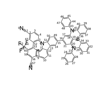 N#Cc1ccc(-n2c3ccccc3c3cc(-c4cc5c6c(c4)N(c4ccccc4)c4ccccc4B6c4ccccc4N5c4ccccc4)ccc32)c(-c2ccc(C#N)cc2C(F)(F)F)c1